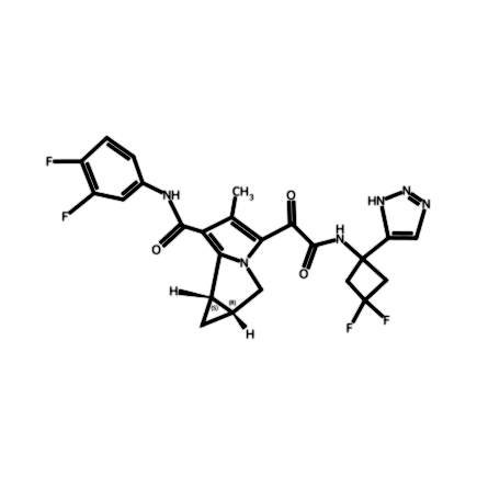 Cc1c(C(=O)Nc2ccc(F)c(F)c2)c2n(c1C(=O)C(=O)NC1(c3cnn[nH]3)CC(F)(F)C1)C[C@@H]1C[C@H]21